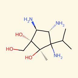 CC(C)C1(N)[C@@H](N)[C@H](N)[C@](O)(CO)[C@]1(C)O